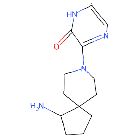 NC1CCCC12CCN(c1nc[c][nH]c1=O)CC2